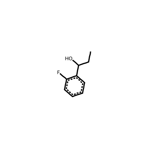 CCC(O)c1ccccc1F